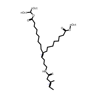 C/C=C(\C)CC(=S)NCCC/C=C(/CCCCCCCCC(=O)OC(CCCCCCCC)CCCCCCCC)CCCCCCCC(=O)OCCCCCCCC